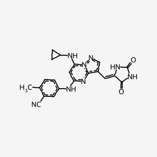 Cc1ccc(Nc2cc(NC3CC3)n3ncc(/C=C4\NC(=O)NC4=O)c3n2)cc1C#N